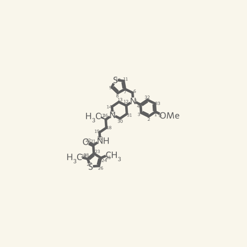 COc1ccc(N(Cc2ccsc2)C2CCN([C@H](C)CCNC(=O)c3c(C)csc3C)CC2)cc1